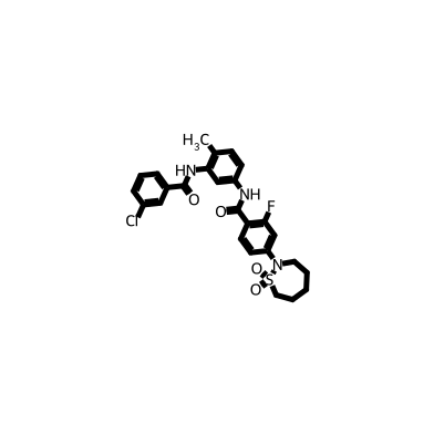 Cc1ccc(NC(=O)c2ccc(N3CCCCCS3(=O)=O)cc2F)cc1NC(=O)c1cccc(Cl)c1